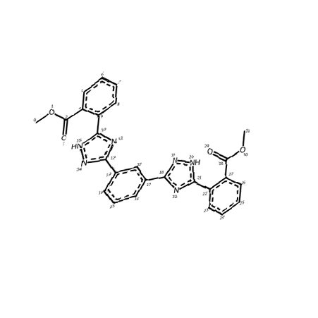 COC(=O)c1ccccc1-c1nc(-c2cccc(-c3n[nH]c(-c4ccccc4C(=O)OC)n3)c2)n[nH]1